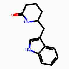 O=C1CCCC(Cc2c[nH]c3ccccc23)N1